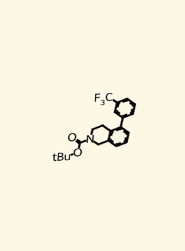 CC(C)(C)OC(=O)N1CCc2c(cccc2-c2cccc(C(F)(F)F)c2)C1